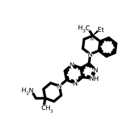 CC[C@]1(C)CCN(c2n[nH]c3nc(N4CCC(C)(CN)CC4)cnc23)c2ccccc21